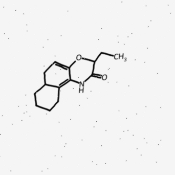 CCC1OC2=CCC3CCCCC3=C2NC1=O